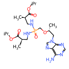 CC(C)OC(=O)[C@H](C)CNP(=O)(CO[C@H](C)Cn1cnc2c(N)ncnc21)NC[C@@H](C)C(=O)OC(C)C